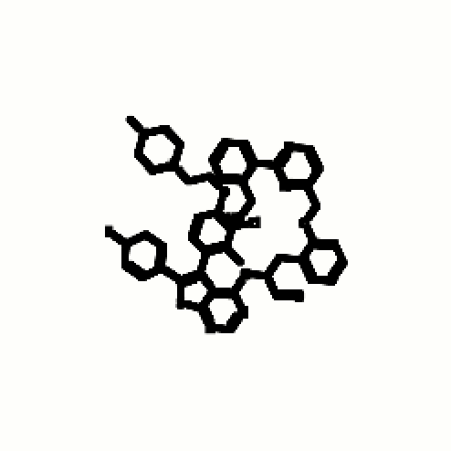 Cc1c(-c2c(C3=CCC(F)C=C3)sc3ncnc(OC(C=O)Cc4ccccc4OCc4ccnc(-c5ccccc5CO)n4)c23)ccc(OCCN2CCN(C)CC2)c1Cl